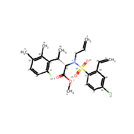 C=CCN([C@H](C(=O)OC)C(C)c1c(F)ccc(C)c1C)S(=O)(=O)c1ccc(Cl)cc1C=C